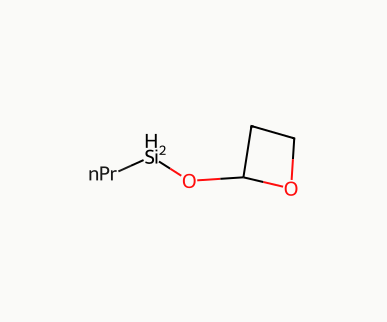 CCC[SiH2]OC1CCO1